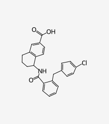 O=C(O)c1ccc2c(c1)CCCC2NC(=O)c1ccccc1Cc1ccc(Cl)cc1